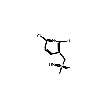 CS(=N)(=O)Cc1cnc(Cl)nc1Cl